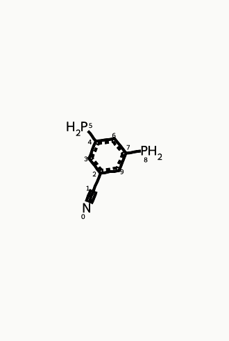 N#Cc1cc(P)cc(P)c1